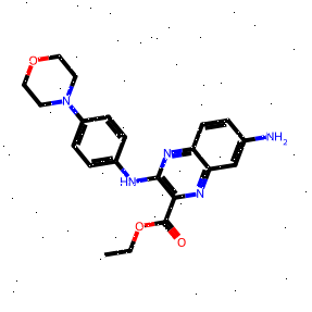 CCOC(=O)c1nc2cc(N)ccc2nc1Nc1ccc(N2CCOCC2)cc1